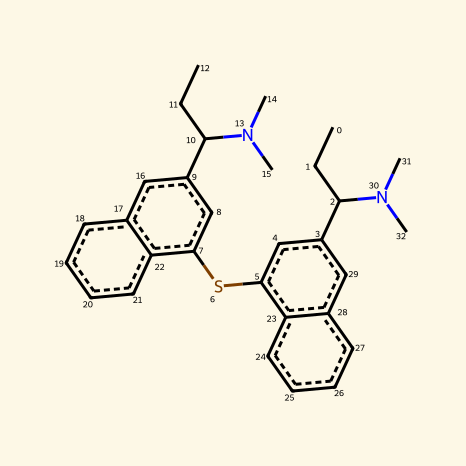 CCC(c1cc(Sc2cc(C(CC)N(C)C)cc3ccccc23)c2ccccc2c1)N(C)C